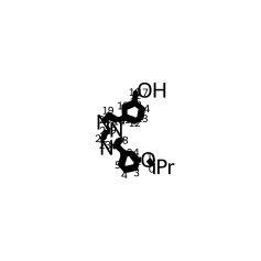 CC(C)Oc1cccc(-c2cn3c(-c4cccc(CO)c4)cnc3cn2)c1